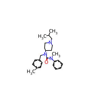 Cc1ccc(CN(C(=O)N(C)c2ccccc2)C2CCN(CC(C)C)CC2)cc1